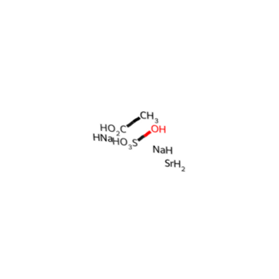 CC(=O)O.O=S(=O)(O)O.[NaH].[NaH].[SrH2]